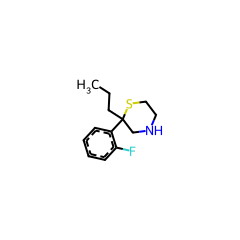 CCCC1(c2ccccc2F)CNCCS1